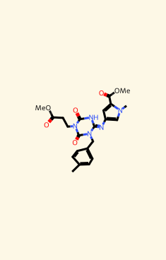 COC(=O)CCn1c(=O)[nH]/c(=N\c2cc(C(=O)OC)n(C)c2)n(Cc2ccc(C)cc2)c1=O